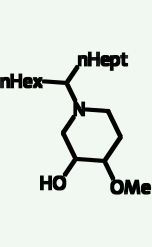 CCCCCCCC(CCCCCC)N1CCC(OC)C(O)C1